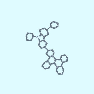 c1ccc(-c2ccc3c(c2)c2cc(-c4ccc5c(c4)c4ccccc4c4c6ccccc6c6ccccc6c54)ccc2n3-c2ccccc2)cc1